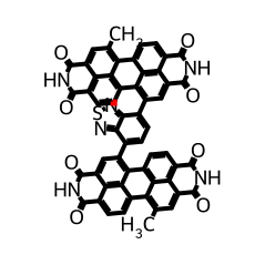 Cc1cc2c3c(ccc4c5c(-c6ccc(-c7cc8c9c(ccc%10c%11c(C)cc%12c%13c(ccc(c7c9%10)c%13%11)C(=O)NC%12=O)C(=O)NC8=O)c7nsnc67)cc6c7c(ccc(c1c34)c75)C(=O)NC6=O)C(=O)NC2=O